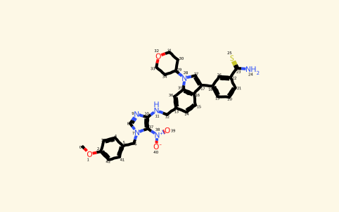 COc1ccc(Cn2cnc(NCc3ccc4c(-c5cccc(C(N)=S)c5)cn(C5CCOCC5)c4c3)c2[N+](=O)[O-])cc1